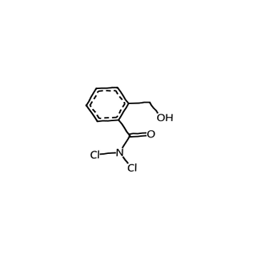 O=C(c1ccccc1CO)N(Cl)Cl